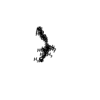 Cc1ncsc1-c1ccc([C@H](C)NC(=O)C2CC(O)CN2C(=O)C(NC(=O)CCCCCCN2CCN(S(=O)(=O)c3ccc(NC(=O)NCc4cccnc4)cc3)CC2)C(C)(C)C)cc1